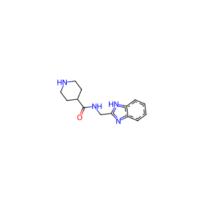 O=C(NCc1nc2ccccc2[nH]1)C1CCNCC1